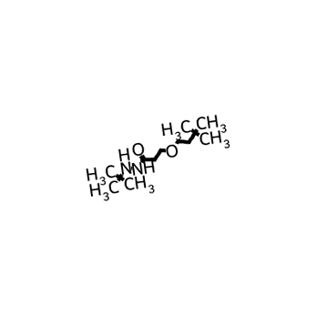 CC(C)(C)CCOCCC(=O)NNC(C)(C)C